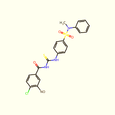 CN(c1ccccc1)S(=O)(=O)c1ccc(NC(=S)NC(=O)c2ccc(Cl)c(N=O)c2)cc1